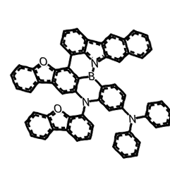 c1ccc(N(c2ccccc2)c2ccc3c(c2)N(c2cccc4c2oc2ccccc24)c2cc4c(oc5ccccc54)c4c2B3n2c3cc5ccccc5cc3c3cccc-4c32)cc1